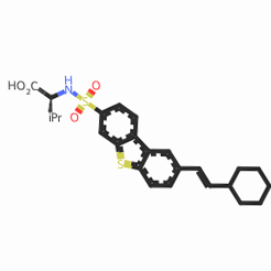 CC(C)[C@H](NS(=O)(=O)c1ccc2c(c1)sc1ccc(C=CC3CCCCC3)cc12)C(=O)O